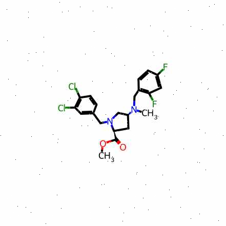 COC(=O)[C@@H]1C[C@H](N(C)Cc2ccc(F)cc2F)CN1Cc1ccc(Cl)c(Cl)c1